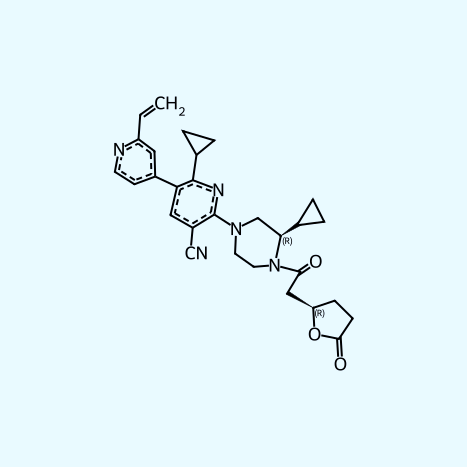 C=Cc1cc(-c2cc(C#N)c(N3CCN(C(=O)C[C@H]4CCC(=O)O4)[C@H](C4CC4)C3)nc2C2CC2)ccn1